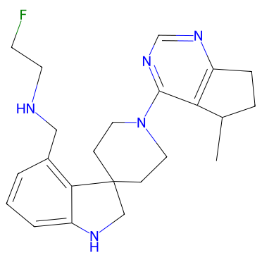 CC1CCc2ncnc(N3CCC4(CC3)CNc3cccc(CNCCF)c34)c21